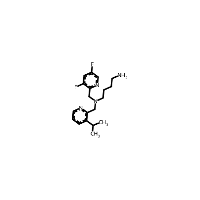 CC(C)c1cccnc1CN(CCCCN)Cc1ncc(F)cc1F